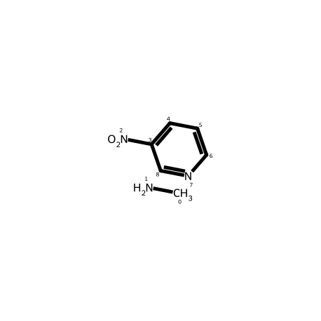 CN.O=[N+]([O-])c1cccnc1